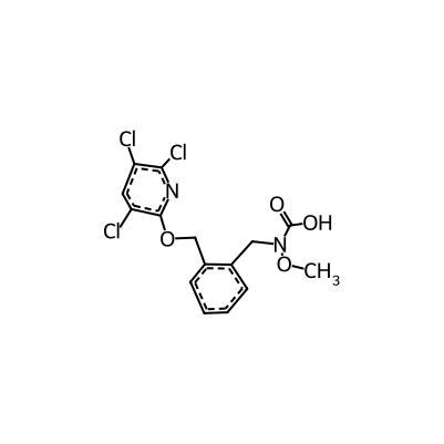 CON(Cc1ccccc1COc1nc(Cl)c(Cl)cc1Cl)C(=O)O